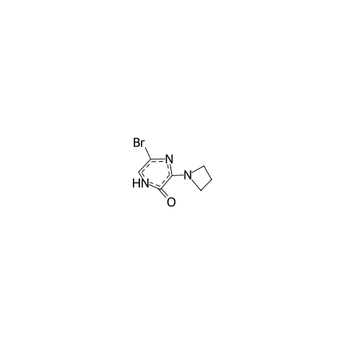 O=c1[nH]cc(Br)nc1N1CCC1